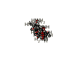 CC(C)C[C@H](NC(=O)[C@H](Cc1ccccc1)NC(=O)[C@@H]1CCCN1C(=O)[C@H](Cc1c[nH]c2ccccc12)NC(=O)[C@H](Cc1c[nH]c2ccccc12)NC(=O)[C@H](Cc1c[nH]c2ccccc12)NC(=O)[C@@H]1CCCN1C(=O)[C@H](Cc1ccccc1)NC(=O)[C@H](CCCNC(=N)N)NC(=O)[C@H](CCCNC(=N)N)NC(=O)[C@@H](N)C(C)C)C(=O)N[C@@H](CCCNC(=N)N)C(=O)N[C@@H](CCCNC(=N)N)C(=O)O